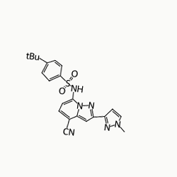 Cn1ccc(-c2cc3c(C#N)ccc(NS(=O)(=O)c4ccc(C(C)(C)C)cc4)n3n2)n1